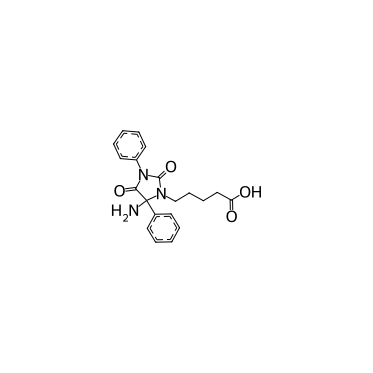 NC1(c2ccccc2)C(=O)N(c2ccccc2)C(=O)N1CCCCC(=O)O